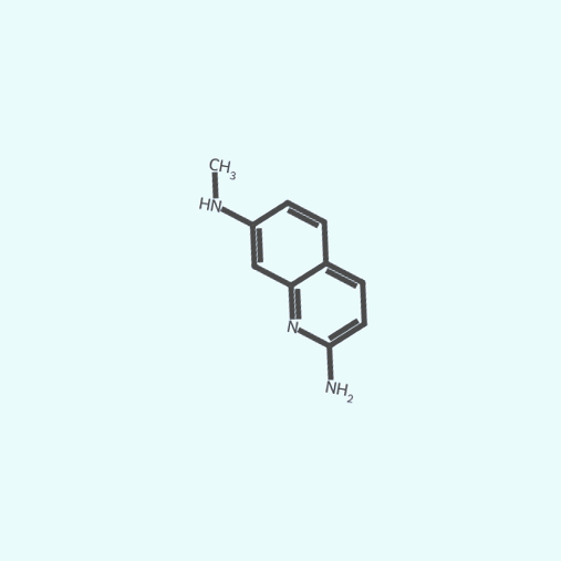 CNc1ccc2ccc(N)nc2c1